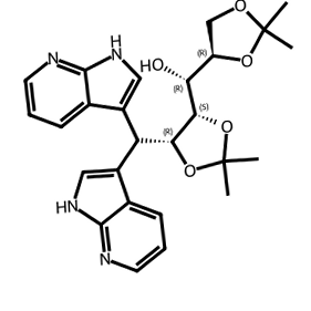 CC1(C)O[C@@H]([C@H](O)[C@H]2COC(C)(C)O2)[C@@H](C(c2c[nH]c3ncccc23)c2c[nH]c3ncccc23)O1